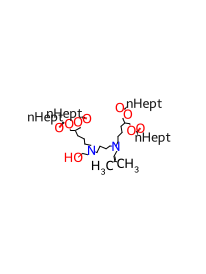 CCCCCCCC(=O)OCC(CCCCN(CC=C(C)C)CCCCN(CCO)CCCCC(COC(=O)CCCCCCC)COC(=O)CCCCCCC)COC(=O)CCCCCCC